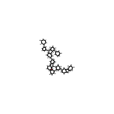 c1ccc(-c2cccc(-n3c4ccc(-c5ccc6c(c5)c5ccccc5n6-c5ccc(-c6ccc7oc8ccccc8c7c6)cc5-c5ccccc5)cc4c4c(-c5ccccc5)cccc43)c2)cc1